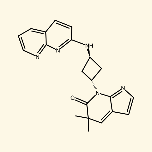 CC1(C)C=C2C=CN=C2N([C@H]2C[C@H](Nc3ccc4cccnc4n3)C2)C1=O